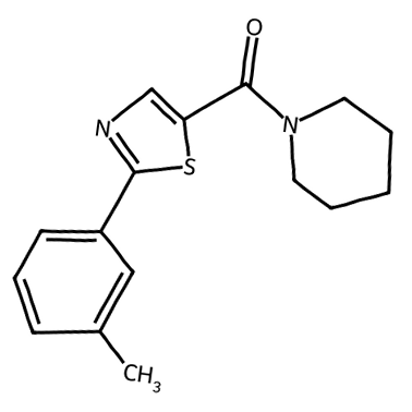 Cc1cccc(-c2ncc(C(=O)N3CCCCC3)s2)c1